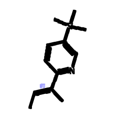 C/C=C(\C)c1ccc([Si](C)(C)C)cn1